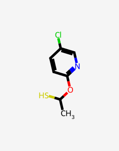 CC(S)Oc1ccc(Cl)cn1